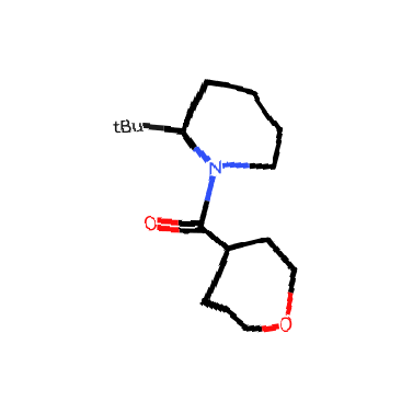 CC(C)(C)C1CCCCN1C(=O)C1CCOCC1